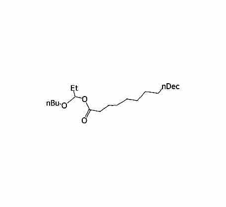 CCCCCCCCCCCCCCCCCC(=O)OC(CC)OCCCC